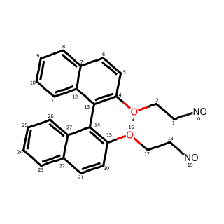 O=NCCOc1ccc2ccccc2c1-c1c(OCCN=O)ccc2ccccc12